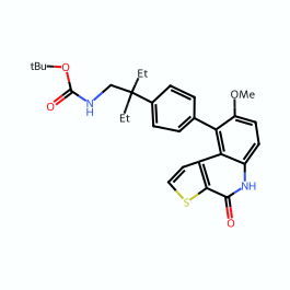 CCC(CC)(CNC(=O)OC(C)(C)C)c1ccc(-c2c(OC)ccc3[nH]c(=O)c4sccc4c23)cc1